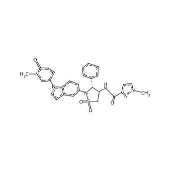 Cn1ccc(C(=O)NC2CS(=O)(=O)N(c3ccc4c(cnn4-c4ccc(=O)n(C)c4)c3)[C@@H]2c2ccccc2)n1